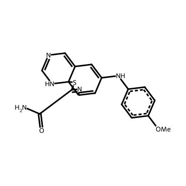 COc1ccc(NC2=CC3=CN=CNC34SC(C(N)=O)=NC4=C2)cc1